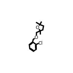 CC1(C)CCC(C)(COCc2ccccc2Cl)O1